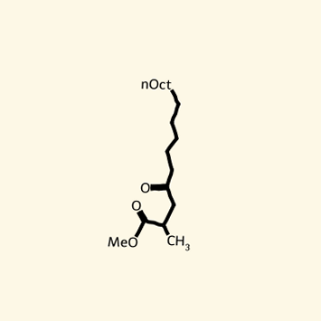 CCCCCCCCCCCCCC(=O)CC(C)C(=O)OC